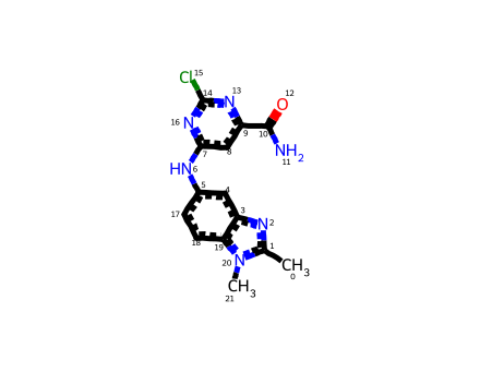 Cc1nc2cc(Nc3cc(C(N)=O)nc(Cl)n3)ccc2n1C